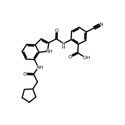 N#Cc1ccc(NC(=O)c2cc3cccc(NC(=O)CC4CCCC4)c3[nH]2)c(C(=O)O)c1